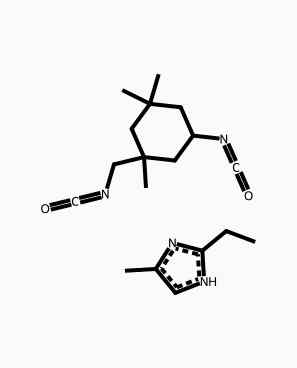 CC1(C)CC(N=C=O)CC(C)(CN=C=O)C1.CCc1nc(C)c[nH]1